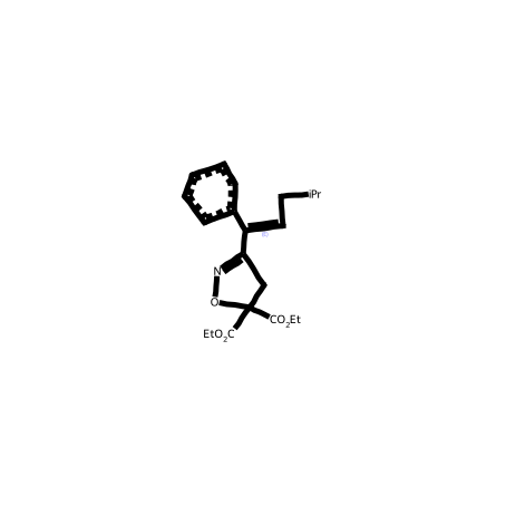 CCOC(=O)C1(C(=O)OCC)CC(/C(=C/CC(C)C)c2ccccc2)=NO1